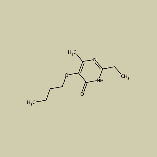 CCCCOc1c(C)nc(CC)[nH]c1=O